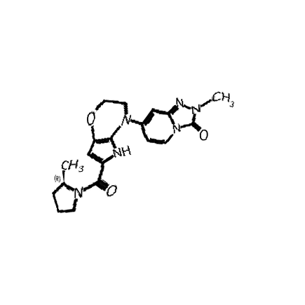 C[C@@H]1CCCN1C(=O)c1cc2c([nH]1)N(c1ccn3c(=O)n(C)nc3c1)CCO2